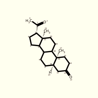 CC(=O)[C@H]1CCC2C3CC[C@@H]4CC(=O)CC[C@]4(C)C3CC[C@@]21C